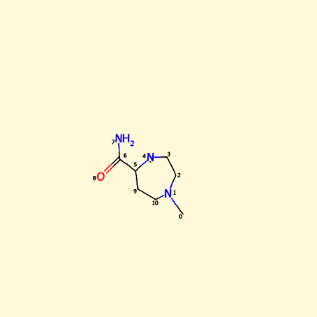 CN1CC[N]C(C(N)=O)CC1